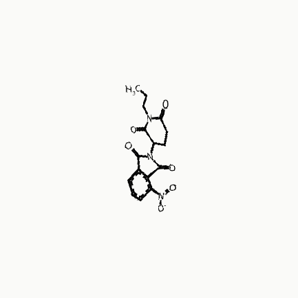 CCCN1C(=O)CCC(N2C(=O)c3cccc([N+](=O)[O-])c3C2=O)C1=O